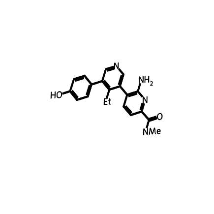 CCc1c(-c2ccc(O)cc2)cncc1-c1ccc(C(=O)NC)nc1N